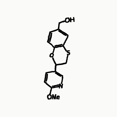 COc1ccc(C2CSc3cc(CO)ccc3O2)cn1